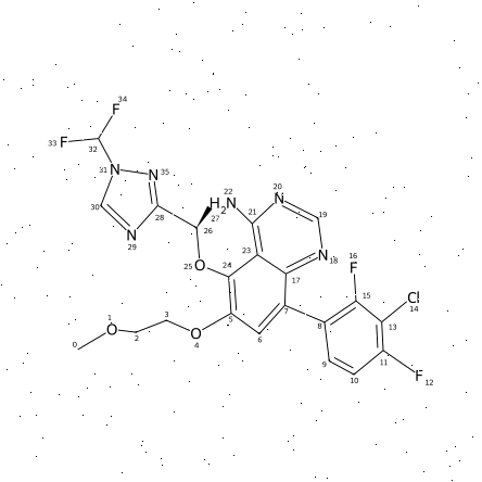 COCCOc1cc(-c2ccc(F)c(Cl)c2F)c2ncnc(N)c2c1O[C@H](C)c1ncn(C(F)F)n1